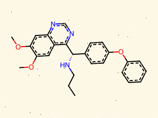 CCCN[C@@H](c1ccc(Oc2ccccc2)cc1)c1ncnc2cc(OC)c(OC)cc12